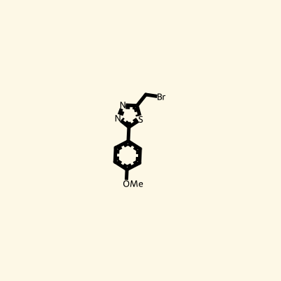 COc1ccc(-c2nnc(CBr)s2)cc1